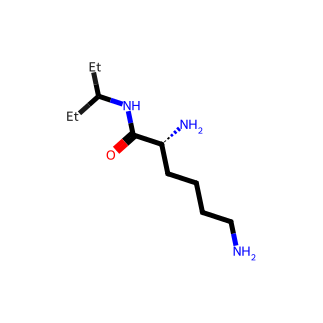 CCC(CC)NC(=O)[C@H](N)CCCCN